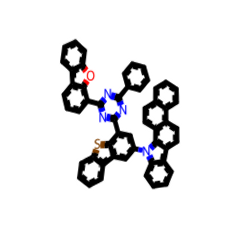 c1ccc(-c2nc(-c3cccc4c3oc3ccccc34)nc(-c3cc(-n4c5ccccc5c5ccc6c7ccccc7ccc6c54)cc4c3sc3ccccc34)n2)cc1